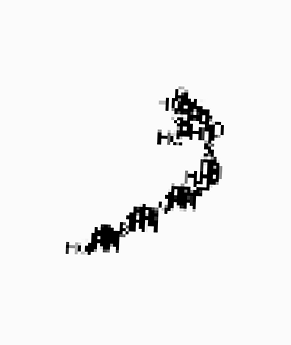 O=C(NCCSC[C@H]1CCN2CCC(CSC[C@H]3CCN4CCC(CSC[C@H]5CCN6CCC(CSC[C@H]7CCN8CCC(CO)NC8=N7)NC6=N5)NC4=N3)NC2=N1)c1ccc(C(=O)O)c(-c2c3ccc(=O)cc-3oc3cc(O)ccc23)c1